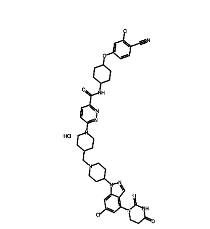 Cl.N#Cc1ccc(OC2CCC(NC(=O)c3ccc(N4CCC(CN5CCC(n6ncc7c(N8CCC(=O)NC8=O)cc(Cl)cc76)CC5)CC4)nn3)CC2)cc1Cl